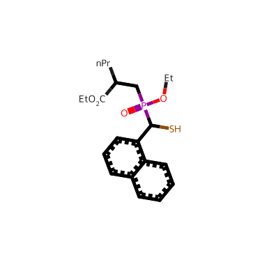 CCCC(CP(=O)(OCC)C(S)c1cccc2ccccc12)C(=O)OCC